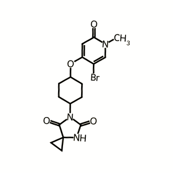 Cn1cc(Br)c(OC2CCC(N3C(=O)NC4(CC4)C3=O)CC2)cc1=O